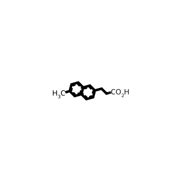 Cc1ccc2cc(CCC(=O)O)ccc2c1